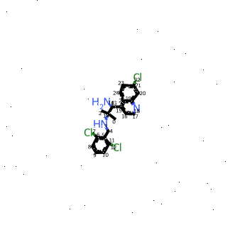 CC(C)(NCc1c(Cl)cccc1Cl)C(N)c1ccnc2cc(Cl)ccc12